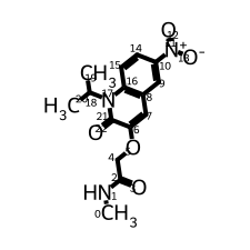 CNC(=O)COc1cc2cc([N+](=O)[O-])ccc2n(C(C)C)c1=O